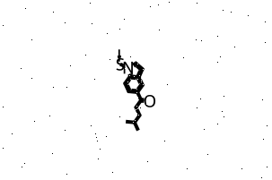 CC(C)CCC(=O)c1ccc2c(ccn2SI)c1